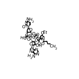 C=CCCC(=O)N1CC(OCC)CC1C(=O)O[C@H]1[C@@H](O)[C@H](n2cnc3c(N)ncnc32)O[C@@H]1COP(=O)(O)O[C@H]1C[C@H](n2ccc(N)nc2=O)O[C@H]1COP(=O)(O)O